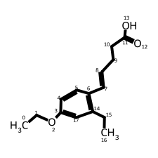 CCOc1ccc(C=CCCC(=O)O)c(CC)c1